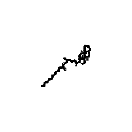 CCCCCCCCCCCC(=O)OCC(C)CCC[C@@H](C)[C@H]1CC[C@H]2[C@@H]3CCC4CCCC[C@]4(C)[C@H]3CC[C@]12C